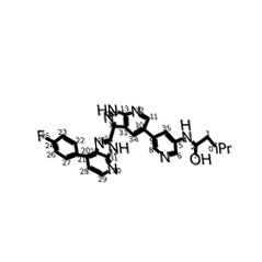 CC(C)CC(O)Nc1cncc(-c2cnc3[nH]nc(-c4nc5c(-c6ccc(F)cc6)ccnc5[nH]4)c3c2)c1